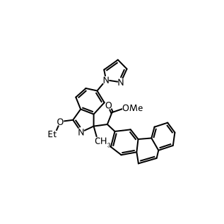 CCOC1=NC(C)(C(C(=O)OC)c2ccc3ccc4ccccc4c3c2)c2cc(-n3cccn3)ccc21